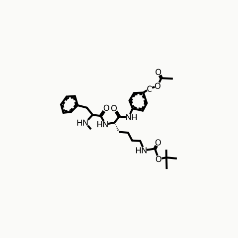 CNC(Cc1ccccc1)C(=O)N[C@@H](CCCCNC(=O)OC(C)(C)C)C(=O)Nc1ccc(COC(C)=O)cc1